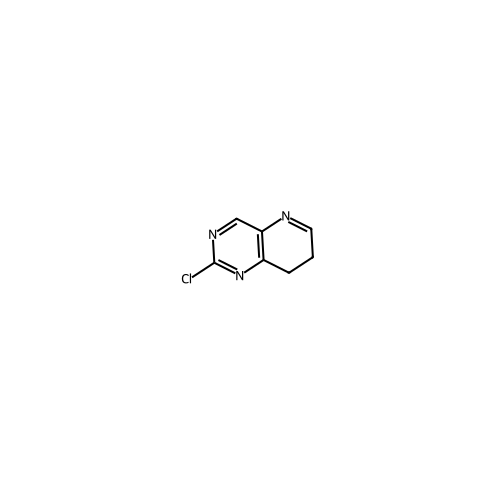 Clc1ncc2c(n1)CCC=N2